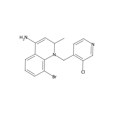 CC1C=C(N)c2cccc(Br)c2N1Cc1ccncc1Cl